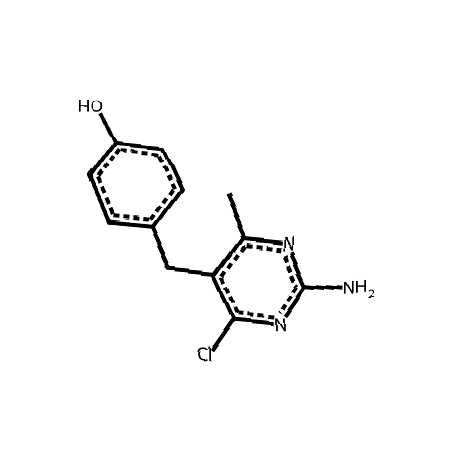 Cc1nc(N)nc(Cl)c1Cc1ccc(O)cc1